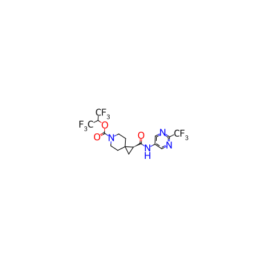 O=C(Nc1cnc(C(F)(F)F)nc1)[C@H]1CC12CCN(C(=O)OC(C(F)(F)F)C(F)(F)F)CC2